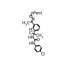 CCCCCO/N=C(\C)c1cccc(C(C)(C)NC(=O)Nc2ccc(Cl)cc2)c1